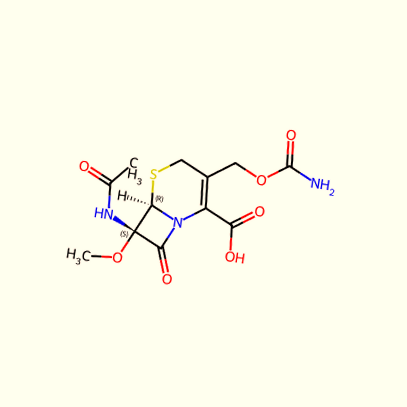 CO[C@@]1(NC(C)=O)C(=O)N2C(C(=O)O)=C(COC(N)=O)CS[C@@H]21